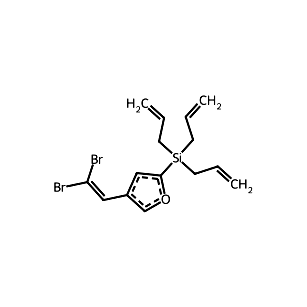 C=CC[Si](CC=C)(CC=C)c1cc(C=C(Br)Br)co1